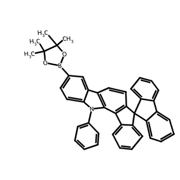 CC1(C)OB(c2ccc3c(c2)c2ccc4c(c2n3-c2ccccc2)-c2ccccc2C42c3ccccc3-c3ccccc32)OC1(C)C